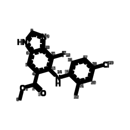 COC(=O)c1cc2[nH]cnc2c(F)c1Nc1ccc(Cl)cc1C